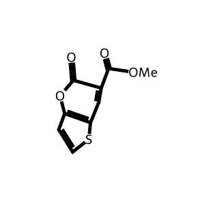 COC(=O)c1cc2sccc2oc1=O